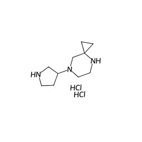 C1CC(N2CCNC3(CC3)C2)CN1.Cl.Cl